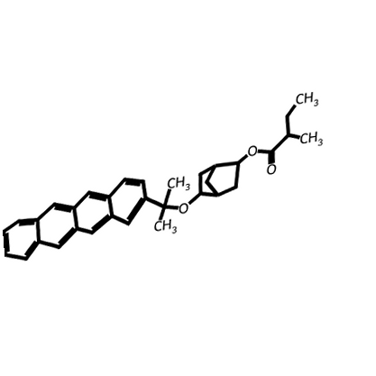 CCC(C)C(=O)OC1CC2CC1CC2OC(C)(C)c1ccc2cc3cc4ccccc4cc3cc2c1